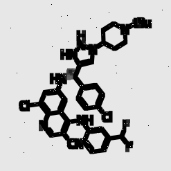 CC(C)(C)N1CCC(N2C=C([C@@H](Nc3cc(Cl)c4ncc(C#N)c(Nc5cccc(C(F)F)c5)c4c3)c3ccc(Cl)cc3)NN2)CC1